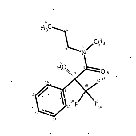 CCCN(C)C(=O)[C@](O)(c1ccccc1)C(F)(F)F